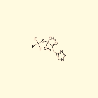 CC(C)(SC(F)(F)F)C(=O)Cn1cncn1